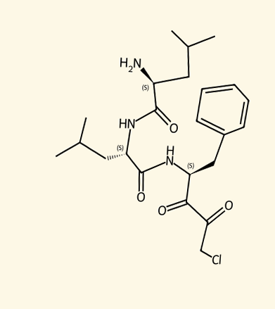 CC(C)C[C@H](NC(=O)[C@@H](N)CC(C)C)C(=O)N[C@@H](Cc1ccccc1)C(=O)C(=O)CCl